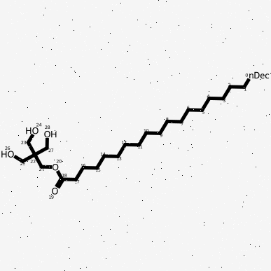 CCCCCCCCCCCCCCCCCCCCCCCCCCCC(=O)OCC(CO)(CO)CO